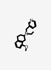 CCN(Cc1cccnc1)C1CCc2cccc(OC)c2C1